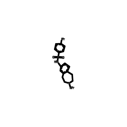 CCCN1CCc2ccc(NS(=O)(=O)c3ccc(C(C)C)cc3)cc2CC1